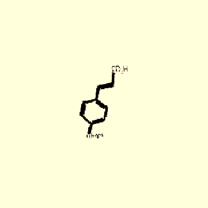 CCCCCCCc1ccc(/C=C/C(=O)O)cc1